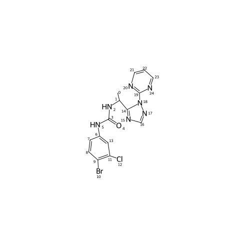 CC(NC(=O)Nc1ccc(Br)c(Cl)c1)c1ncnn1-c1ncccn1